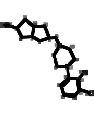 OC1CC2CC(CN3CCN(c4cccc(Cl)c4Cl)CC3)CC2C1